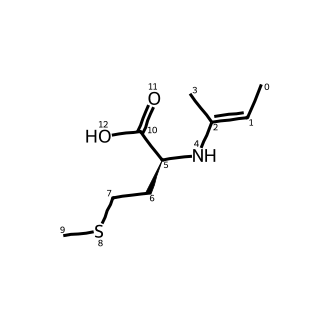 C/C=C(\C)N[C@@H](CCSC)C(=O)O